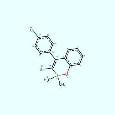 CS1(C)Oc2ccccc2C(c2ccc(Cl)cc2)=C1Br